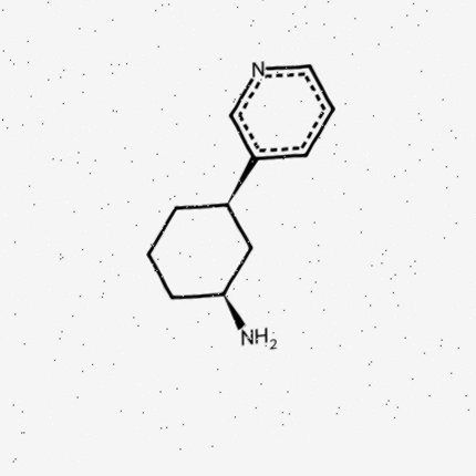 N[C@H]1CCC[C@@H](c2cccnc2)C1